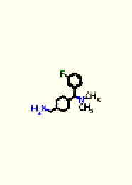 CN(C)C(c1cccc(F)c1)C1CCC(CN)CC1